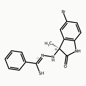 C[C@@]1(N/N=C(\S)c2ccccc2)C(=O)Nc2ccc(Br)cc21